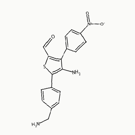 NCc1ccc(-c2sc(C=O)c(-c3ccc([N+](=O)[O-])cc3)c2N)cc1